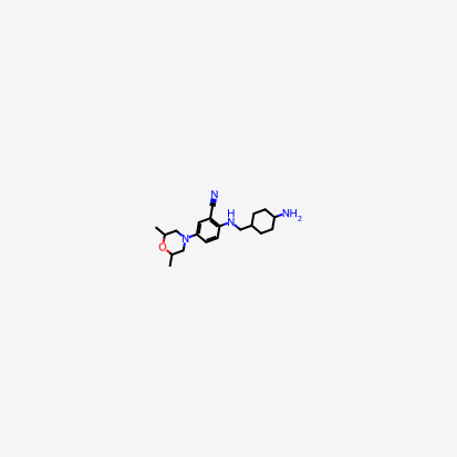 CC1CN(c2ccc(NCC3CCC(N)CC3)c(C#N)c2)CC(C)O1